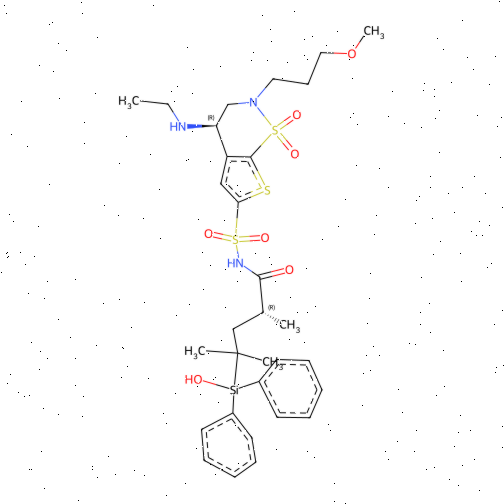 CCN[C@H]1CN(CCCOC)S(=O)(=O)c2sc(S(=O)(=O)NC(=O)[C@H](C)CC(C)(C)[Si](O)(c3ccccc3)c3ccccc3)cc21